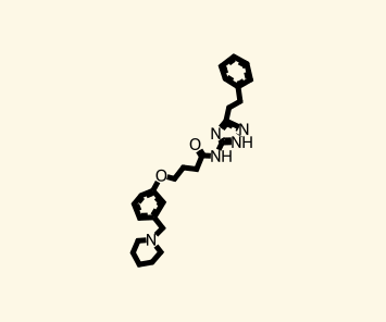 O=C(CCCOc1cccc(CN2CCCCC2)c1)Nc1nc(CCc2ccccc2)n[nH]1